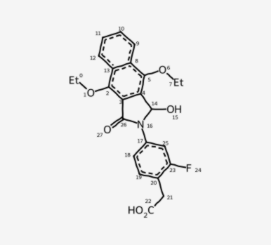 CCOc1c2c(c(OCC)c3ccccc13)C(O)N(c1ccc(CC(=O)O)c(F)c1)C2=O